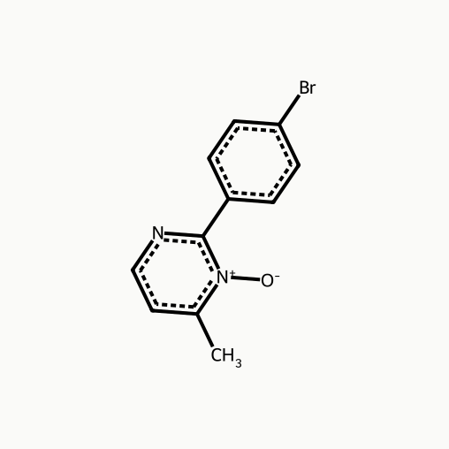 Cc1ccnc(-c2ccc(Br)cc2)[n+]1[O-]